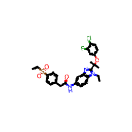 CCn1c(C(C)(C)Oc2ccc(Cl)c(F)c2)nc2cc(NC(=O)Cc3ccc(S(=O)(=O)CC)cc3)ccc21